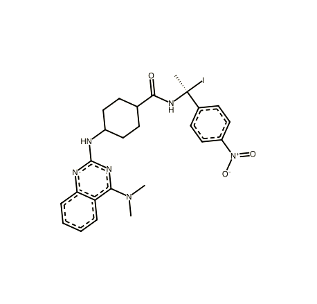 CN(C)c1nc(NC2CCC(C(=O)N[C@@](C)(I)c3ccc([N+](=O)[O-])cc3)CC2)nc2ccccc12